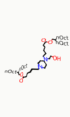 CCCCCCCCC(CCCCCCCC)COC(=O)CCCCCN1CCC(N(CCO)CCCCCC(=O)OCC(CCCCCCCC)CCCCCCCC)CC1